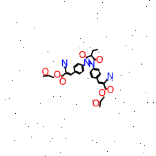 CCC1C(=O)N(c2ccc(/C=C(\C#N)C(=O)OCC3CO3)cc2)N(c2ccc(/C=C(\C#N)C(=O)OCC3CO3)cc2)C1=O